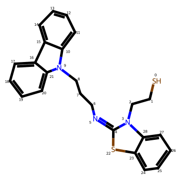 SCCn1/c(=N\CCCn2c3ccccc3c3ccccc32)sc2ccccc21